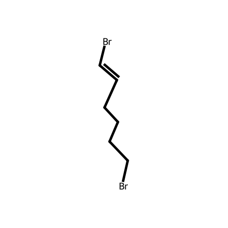 BrC=CCCCCBr